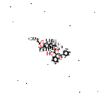 CC[C@@H]1OC(COC)O[C@@H]([C@@H](C)/C(C)=C(\C)[C@H](C)OC(=O)[C@H](O)[C@@H](NC(=O)c2ccccc2)c2ccccc2)C1(C)C